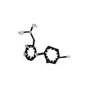 CN(C)Cc1nn[c]n1-c1ccc(Cl)cc1